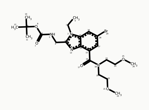 CCn1c(CNC(=O)OC(C)(C)C)nc2c(C(=O)N(CCOC)CCOC)cc(Br)cc21